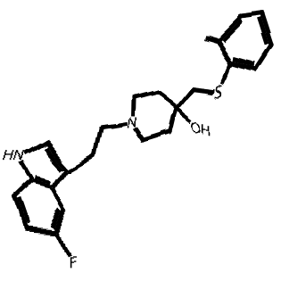 Cc1ccccc1SCC1(O)CCN(CCc2c[nH]c3ccc(F)cc23)CC1